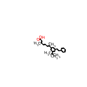 CC(C=CC=C(C)c1cc(C=Cc2ccccc2)cc(C(C)(C)C)c1)=CC(=O)O